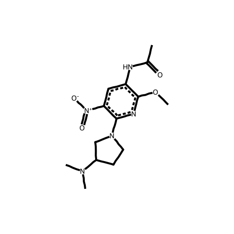 COc1nc(N2CCC(N(C)C)C2)c([N+](=O)[O-])cc1NC(C)=O